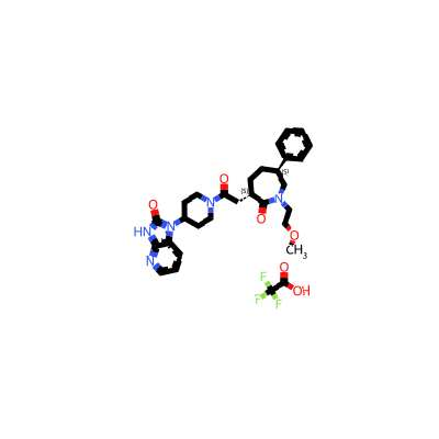 COCCN1C[C@H](c2ccccc2)CC[C@@H](CC(=O)N2CCC(n3c(=O)[nH]c4ncccc43)CC2)C1=O.O=C(O)C(F)(F)F